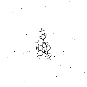 CC(C)c1nc2c(c3c1[C@@H](c1cnc(C(C)(C)C)nc1)OC31CCCC1I)[C@@H](O[Si](C)(C)C(C)(C)C)CC(C)(C)C2